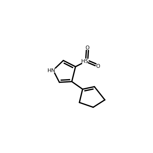 O=[SH](=O)c1c[nH]cc1C1=CCCC1